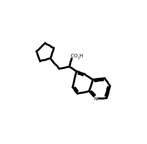 O=C(O)C(CC1CCCC1)c1ccc2ncccc2c1